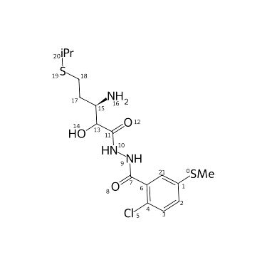 CSc1ccc(Cl)c(C(=O)NNC(=O)C(O)[C@H](N)CCSC(C)C)c1